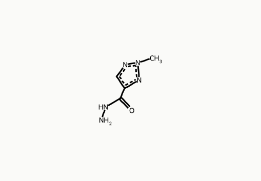 Cn1ncc(C(=O)NN)n1